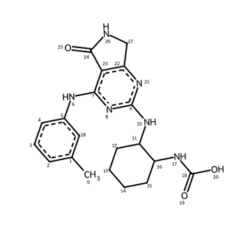 Cc1cccc(Nc2nc(NC3CCCCC3NC(=O)O)nc3c2C(=O)NC3)c1